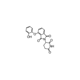 O=C1CCC(N2C(=O)c3cccc(Oc4ccccc4O)c3C2=O)C(=O)N1